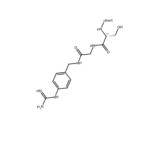 CCCCCN[C@H](CO)C(=O)NCC(=O)NCc1ccc(NC(=N)N)cc1